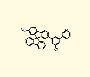 N#Cc1ccc2c(c1)C1(c3ccccc3-c3ccccc31)c1cc(-c3cc(Cl)cc(-c4cccnc4)c3)ccc1-2